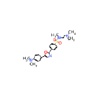 CN(C)CCN(C)S(=O)(=O)c1ccc(-c2ncc(-c3ccc(N(C)C)cc3)o2)cc1